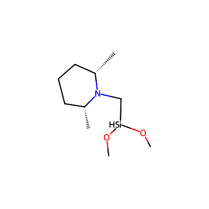 CO[SiH](CN1[C@H](C)CCC[C@@H]1C)OC